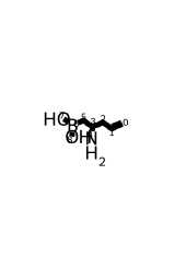 C=CCC(N)CB(O)O